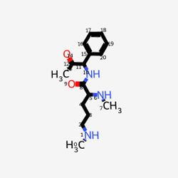 CNCCCC(NC)C(=O)NC(C(C)=O)c1ccccc1